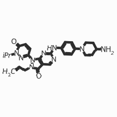 C=CCn1c(=O)c2cnc(Nc3ccc(N4CCC(N)CC4)cc3)nc2n1-c1ccc(=O)n(C(C)C)n1